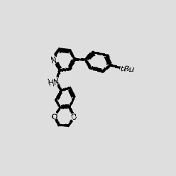 CC(C)(C)c1ccc(-c2ccnc(Nc3ccc4c(c3)OCCO4)c2)cc1